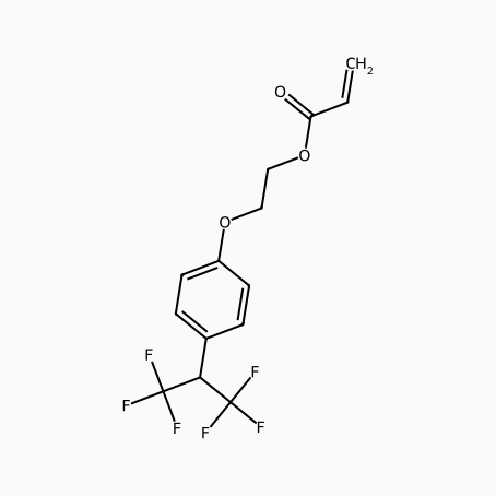 C=CC(=O)OCCOc1ccc(C(C(F)(F)F)C(F)(F)F)cc1